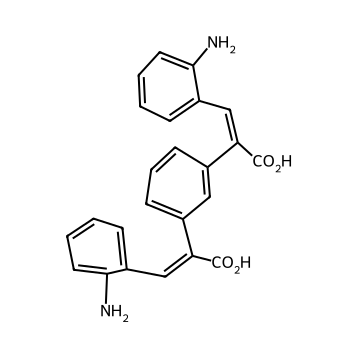 Nc1ccccc1/C=C(/C(=O)O)c1cccc(/C(=C\c2ccccc2N)C(=O)O)c1